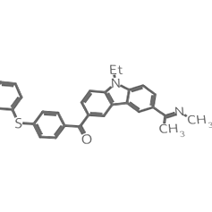 CCn1c2ccc(C(=O)c3ccc(Sc4ccccc4)cc3)cc2c2cc(C(C)=NC)ccc21